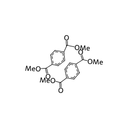 COC(=O)c1ccc(C(=O)OC)cc1.COC(=O)c1ccc(C(=O)OC)cc1